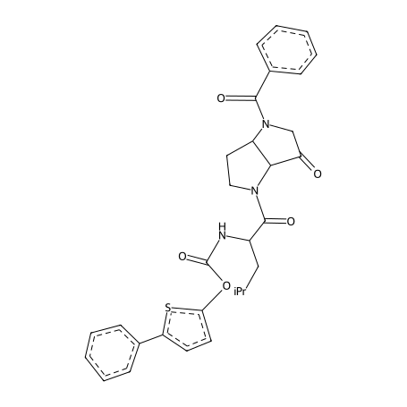 CC(C)CC(NC(=O)Oc1ccc(-c2ccccc2)s1)C(=O)N1CCC2C1C(=O)CN2C(=O)c1ccccc1